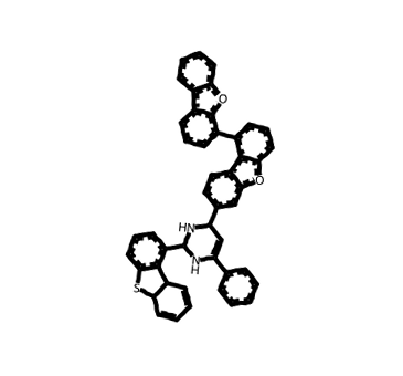 C1=CC2Sc3cccc(C4NC(c5ccccc5)=CC(c5ccc6c(c5)oc5cccc(-c7cccc8c7oc7ccccc78)c56)N4)c3C2C=C1